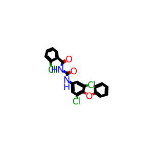 O=C(NC(=O)c1ccccc1Cl)Nc1cc(Cl)c(Oc2ccccc2)c(Cl)c1